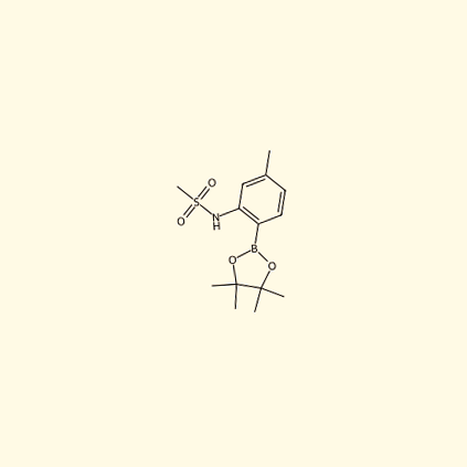 Cc1ccc(B2OC(C)(C)C(C)(C)O2)c(NS(C)(=O)=O)c1